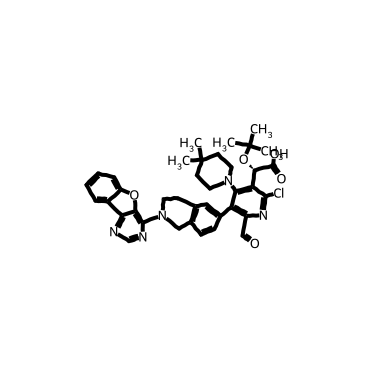 CC1(C)CCN(c2c(-c3ccc4c(c3)CCN(c3ncnc5c3oc3ccccc35)C4)c(C=O)nc(Cl)c2[C@H](OC(C)(C)C)C(=O)O)CC1